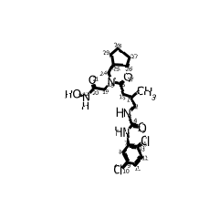 CC(CNC(=O)Nc1cc(Cl)ccc1Cl)CC(=O)N(CC(=O)NO)CC1CCCC1